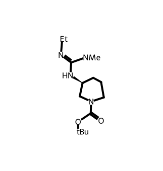 CC/N=C(\NC)N[C@H]1CCCN(C(=O)OC(C)(C)C)C1